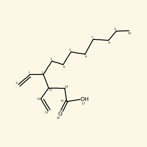 C=CC(CCCCCCCC)C(C=C)CC(=O)O